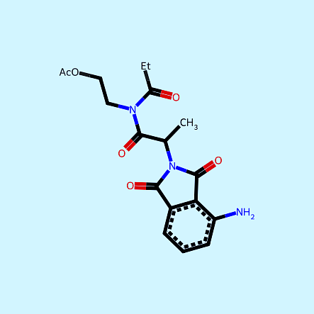 CCC(=O)N(CCOC(C)=O)C(=O)C(C)N1C(=O)c2cccc(N)c2C1=O